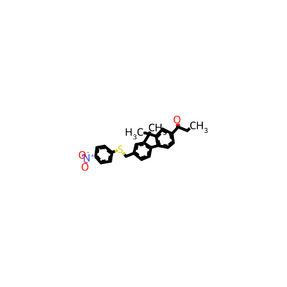 CCC(=O)c1ccc2c(c1)C(C)(C)c1cc(CSc3ccc([N+](=O)[O-])cc3)ccc1-2